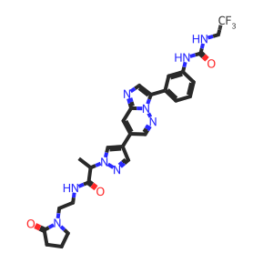 CC(C(=O)NCCN1CCCC1=O)n1cc(-c2cnn3c(-c4cccc(NC(=O)NCC(F)(F)F)c4)cnc3c2)cn1